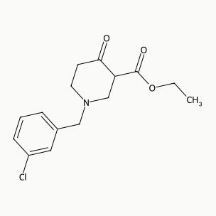 CCOC(=O)C1CN(Cc2cccc(Cl)c2)CCC1=O